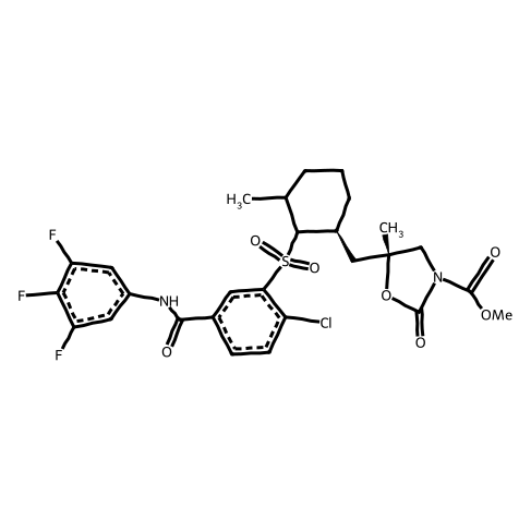 COC(=O)N1C[C@@](C)(C[C@@H]2CCCC(C)C2S(=O)(=O)c2cc(C(=O)Nc3cc(F)c(F)c(F)c3)ccc2Cl)OC1=O